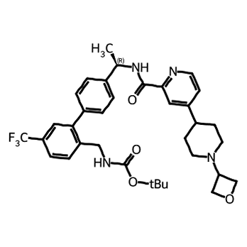 C[C@@H](NC(=O)c1cc(C2CCN(C3COC3)CC2)ccn1)c1ccc(-c2cc(C(F)(F)F)ccc2CNC(=O)OC(C)(C)C)cc1